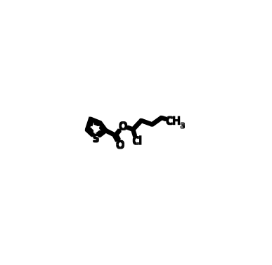 CCCCC(Cl)OC(=O)c1cccs1